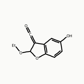 CCOC1Oc2ccc(O)cc2C1=C=O